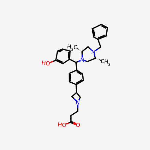 C[C@@H]1CN(C(c2ccc(C3CN(CCC(=O)O)C3)cc2)c2cccc(O)c2)[C@H](C)CN1Cc1ccccc1